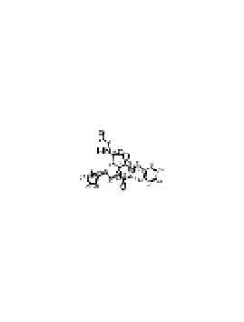 C=CCNC(=O)CC1C(=O)N(Cc2ccccc2)CC(=O)N1CCc1cccs1